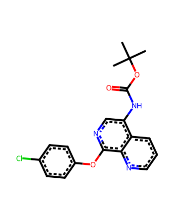 CC(C)(C)OC(=O)Nc1cnc(Oc2ccc(Cl)cc2)c2ncccc12